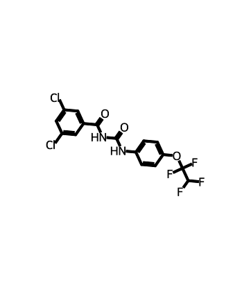 O=C(NC(=O)c1cc(Cl)cc(Cl)c1)Nc1ccc(OC(F)(F)C(F)F)cc1